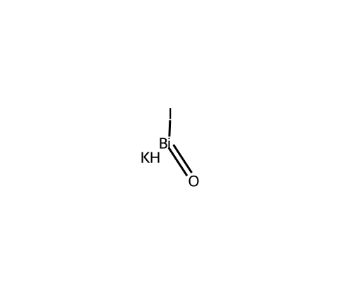 [KH].[O]=[Bi][I]